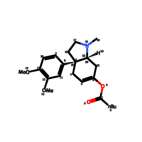 CCCCC(=O)OC1=CC[C@@]2(c3ccc(OC)c(OC)c3)CCN(C)[C@H]2C1